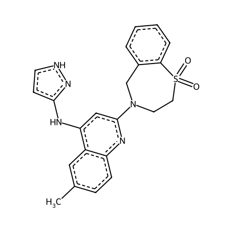 Cc1ccc2nc(N3CCS(=O)(=O)c4ccccc4C3)cc(Nc3cc[nH]n3)c2c1